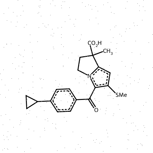 CSc1cc2n(c1C(=O)c1ccc(C3CC3)cc1)CCC2(C)C(=O)O